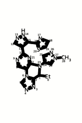 CCC1c2nncn2-c2cnc(-c3cn[nH]c3-c3nccs3)nc2N1c1cnn(C)c1